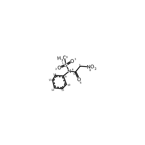 CS(=O)(=O)N(C(=O)C[N+](=O)[O-])c1ccccc1